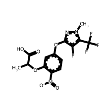 CC(Oc1cc(Oc2nn(C)c(C(F)(F)F)c2F)ccc1[N+](=O)[O-])C(=O)O